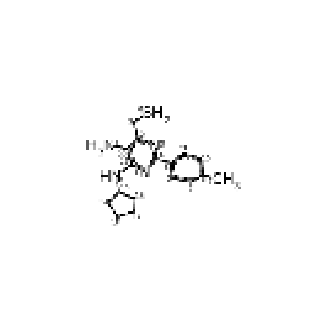 BCc1nc(-c2ccc(C)cc2)nc(NC2CCCC2)c1N